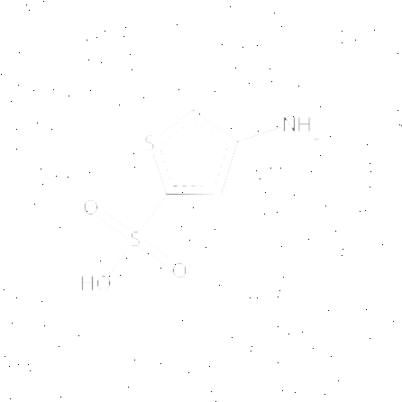 Nc1csc(S(=O)(=O)O)c1